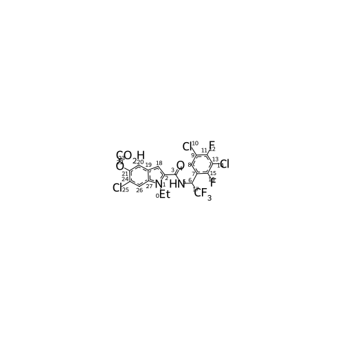 CCn1c(C(=O)NC(c2cc(Cl)c(F)c(Cl)c2F)C(F)(F)F)cc2cc(OC(=O)O)c(Cl)cc21